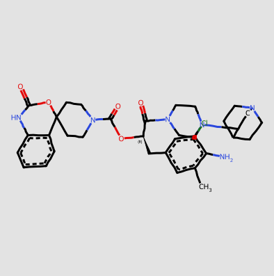 Cc1cc(C[C@@H](OC(=O)N2CCC3(CC2)OC(=O)Nc2ccccc23)C(=O)N2CCN(C3CN4CCC3CC4)CC2)cc(Cl)c1N